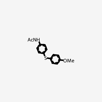 COc1ccc(Sc2ccc(NC(C)=O)cc2)cc1